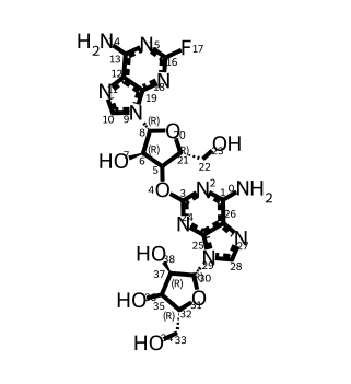 Nc1nc(OC2[C@@H](O)[C@H](n3cnc4c(N)nc(F)nc43)O[C@@H]2CO)nc2c1ncn2[C@@H]1O[C@H](CO)C(O)[C@H]1O